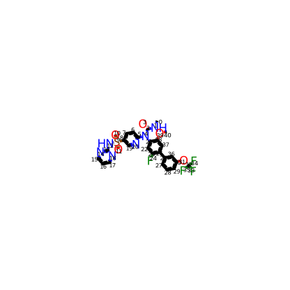 CNC(=O)N(c1ccc(S(=O)(=O)Nc2ncccn2)cn1)c1cc(F)c(-c2cccc(OC(F)(F)F)c2)cc1OC